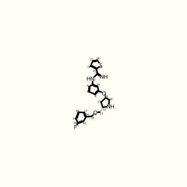 N=C(Nc1cccc(O[C@H]2CN[C@H](COCc3cccc(F)c3)C2)c1)c1cccs1